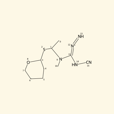 CC(SC1CCCCO1)N(C)C(=[N+]=N)NC#N